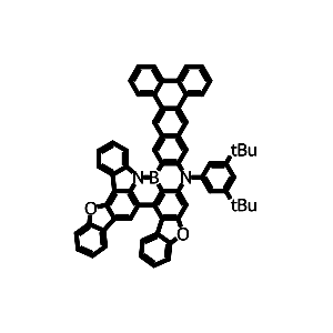 CC(C)(C)c1cc(N2c3cc4cc5c6ccccc6c6ccccc6c5cc4cc3B3c4c2cc2oc5ccccc5c2c4-c2cc4c5ccccc5oc4c4c5ccccc5n3c24)cc(C(C)(C)C)c1